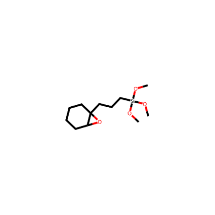 CO[Si](CCCC12CCCCC1O2)(OC)OC